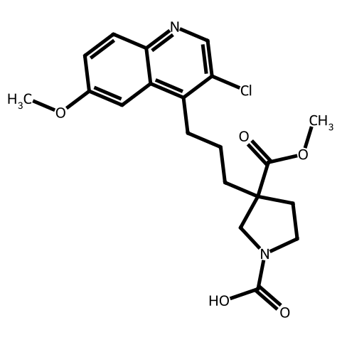 COC(=O)C1(CCCc2c(Cl)cnc3ccc(OC)cc23)CCN(C(=O)O)C1